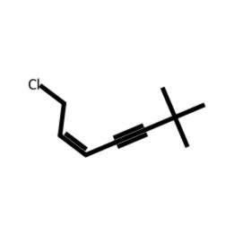 CC(C)(C)C#C/C=C\CCl